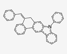 C(=C1\Cc2cc3c(cc2-c2ccccc21)c1ccccc1n3-c1ccccc1)/c1ccccc1